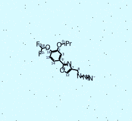 CC(C)Oc1cc(-c2nc(CN=[N+]=[N-])co2)ccc1OC(F)F